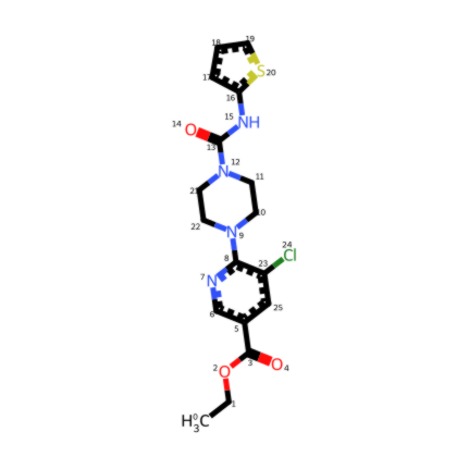 CCOC(=O)c1cnc(N2CCN(C(=O)Nc3cccs3)CC2)c(Cl)c1